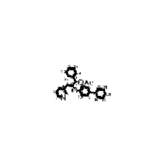 CC(=O)OC(C(=Cc1cccnc1)Oc1ccc(-c2ccccc2)cc1)c1ccccc1